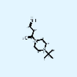 CC(C)(C)N1CCN(C(=O)CC=N)CC1